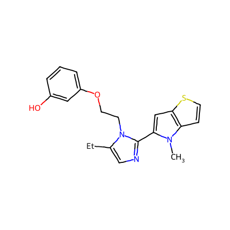 CCc1cnc(-c2cc3sccc3n2C)n1CCOc1cccc(O)c1